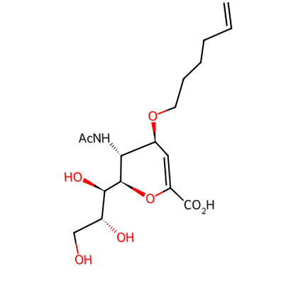 C=CCCCCO[C@H]1C=C(C(=O)O)O[C@@H]([C@H](O)[C@H](O)CO)[C@@H]1NC(C)=O